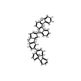 c1ccc2c(c1)-c1cccc3c(-c4ccc5sc6ccc(-n7c8ccccc8c8c9c(ccc87)oc7ccccc79)cc6c5c4)ccc-2c13